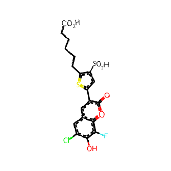 O=C(O)CCCCCc1sc(-c2cc3cc(Cl)c(O)c(F)c3oc2=O)cc1S(=O)(=O)O